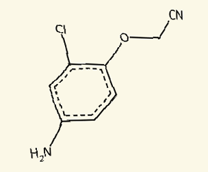 N#CCOc1ccc(N)cc1Cl